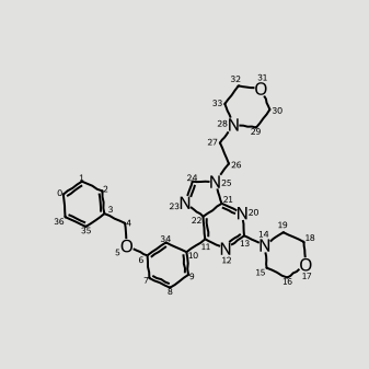 c1ccc(COc2cccc(-c3nc(N4CCOCC4)nc4c3ncn4CCN3CCOCC3)c2)cc1